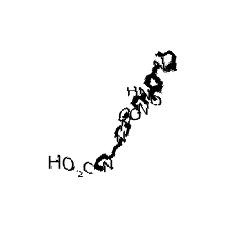 CC1CCCCN1Cc1ccc(C(=O)Nc2ccc(OC(=O)N3CCN(CCCc4ccc(C(=O)O)cn4)CC3)nc2)cc1